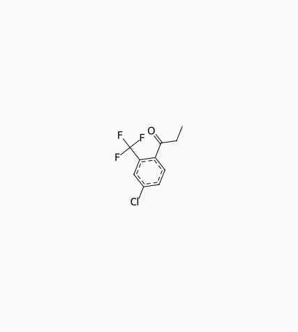 CCC(=O)c1ccc(Cl)cc1C(F)(F)F